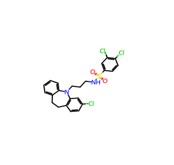 O=S(=O)(NCCCN1c2ccccc2CCc2ccc(Cl)cc21)c1ccc(Cl)c(Cl)c1